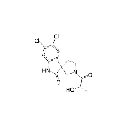 C[C@H](O)C(=O)N1CC[C@]2(C1)C(=O)Nc1cc(Cl)c(Cl)cc12